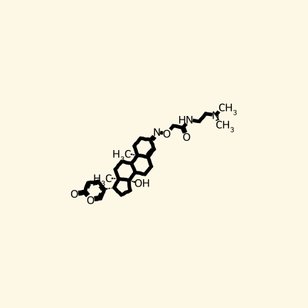 CN(C)CCNC(=O)CON=C1C=C2CCC3C(CC[C@]4(C)[C@@H](c5ccc(=O)oc5)CC[C@]34O)[C@@]2(C)CC1